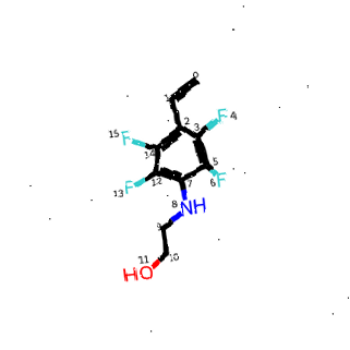 C=Cc1c(F)c(F)c(NCCO)c(F)c1F